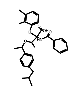 Cc1cccc(OC(NC(=O)c2ccccc2)(C(=O)O)C(C)OC(C)c2ccc(CC(C)C)cc2)c1C